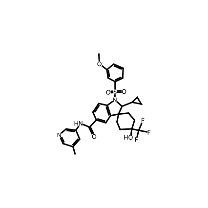 COc1cccc(S(=O)(=O)N2c3ccc(C(=O)Nc4cncc(C)c4)cc3C3(CCC(O)(C(F)(F)F)CC3)C2C2CC2)c1